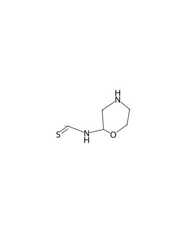 S=[C]NC1CNCCO1